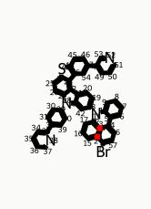 Brc1ccc(-c2ccccc2N(c2ccccc2)c2ccc3c4c5c(ccc4n(-c4ccc(-c6ccccn6)cc4)c3c2)sc2ccc(-c3cccnc3)cc25)cc1